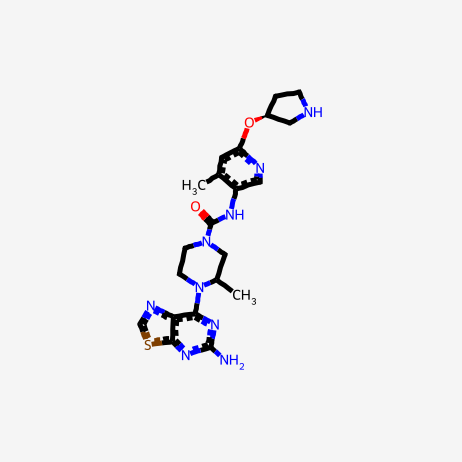 Cc1cc(O[C@H]2CCNC2)ncc1NC(=O)N1CCN(c2nc(N)nc3scnc23)C(C)C1